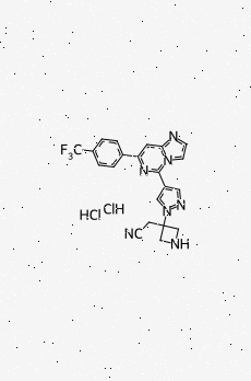 Cl.Cl.N#CCC1(n2cc(-c3nc(-c4ccc(C(F)(F)F)cc4)cc4nccn34)cn2)CNC1